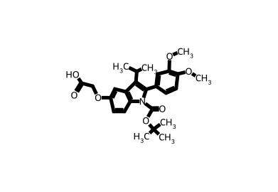 COc1ccc(-c2c(C(C)C)c3cc(OCC(=O)O)ccc3n2C(=O)OC(C)(C)C)cc1OC